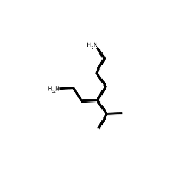 CC(C)[C](CCN)CCCN